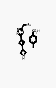 CC(C)(C)Cc1nnc(C23CC(C4CNC4)(C2)C3)s1.Cc1ccc(S(=O)(=O)O)cc1